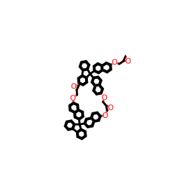 c1ccc2c(c1)-c1ccccc1C2(c1ccc2cc(OCC3CO3)ccc2c1)c1ccc2cc(OCC3OC3Oc3ccc4cc(C5(c6ccc7cc(OCC8CO8)ccc7c6)c6ccccc6-c6ccccc65)ccc4c3)ccc2c1